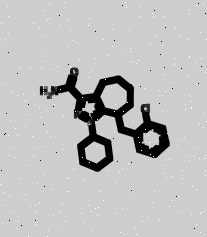 NC(=O)c1nn(C2CCCCC2)c2c1CCCCC2Cc1ccccc1Cl